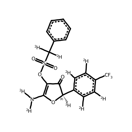 [2H]c1c([2H])c([C@@]2([2H])OC(N([2H])[2H])=C(OS(=O)(=O)C([2H])([2H])c3ccccc3)C2=O)c([2H])c([2H])c1C(F)(F)F